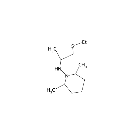 CCSCC(C)NN1C(C)CCCC1C